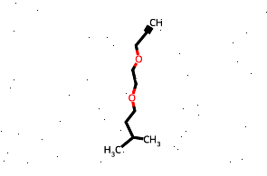 C#CCOCCOCCC(C)C